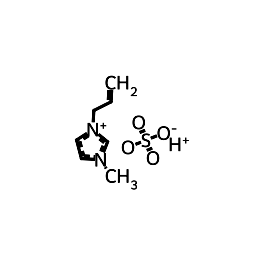 C=CC[n+]1ccn(C)c1.O=S(=O)([O-])[O-].[H+]